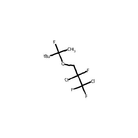 CC(C)(C)C(C)(F)OCC(F)(Cl)C(F)(F)Cl